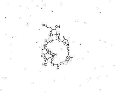 C=C1C[C@@H]2CCC(=O)C[C@H]3O[C@H]4[C@@H](O)[C@H]5O[C@H](CC[C@@H]5O[C@H]4[C@H]3O)CC(=O)OC3[C@H](CC4O[C@@H](CCC1O2)C[C@@H](C)C4=C)O[C@H]1C[C@@H](O)C(CCO)O[C@H]1[C@@H]3C